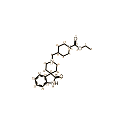 CCOC(=O)N1CCC(CN2CCC3(CC2)C(=O)Nc2ccccc23)CC1